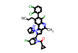 Cc1nc2c(F)c(-c3cccc(Cl)c3Cl)c(CCC#N)cc2c2c1cc(C1C3CC(CC3F)N1C(=O)C1CC1)n2C1C2CNC1C2